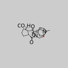 CN1CCN(C(=O)[C@H]2CCC[C@@]2(C(=O)O)S(=O)(=O)c2ccccc2)CC1